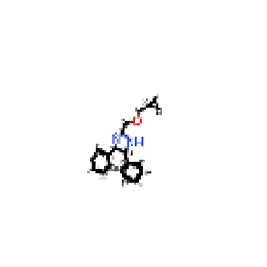 c1ccc(C2N=C(COCC3CC3)NC2c2ccccc2)cc1